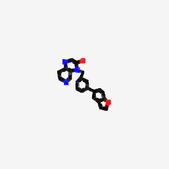 O=c1cnc2ccncc2n1Cc1cccc(-c2ccc3occc3c2)c1